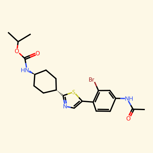 CC(=O)Nc1ccc(-c2cnc([C@H]3CC[C@H](NC(=O)OC(C)C)CC3)s2)c(Br)c1